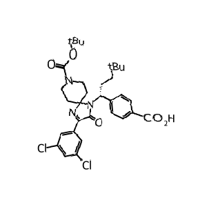 CC(C)(C)CC[C@H](c1ccc(C(=O)O)cc1)N1C(=O)C(c2cc(Cl)cc(Cl)c2)=NC12CCN(C(=O)OC(C)(C)C)CC2